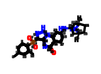 Cc1ccc(S(=O)(=O)c2n[nH]n3c2nc(=O)c2ccc(NC4C[C@H]5CC[C@@H](C4)N5)cc23)c(C)c1